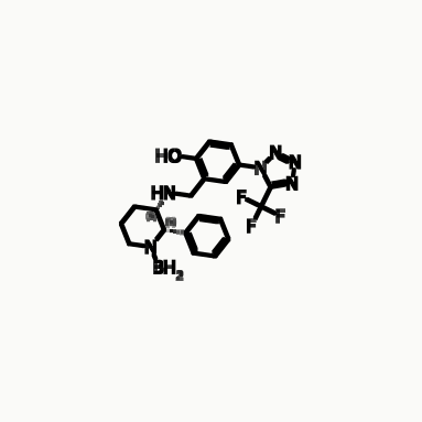 BN1CCC[C@H](NCc2cc(-n3nnnc3C(F)(F)F)ccc2O)[C@@H]1c1ccccc1